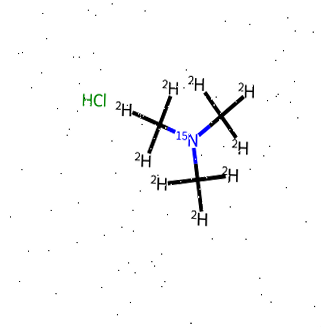 Cl.[2H]C([2H])([2H])[15N](C([2H])([2H])[2H])C([2H])([2H])[2H]